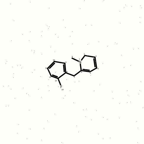 CN1CC=[C]C=C1Cc1ccccc1F